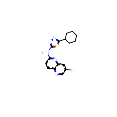 Brc1cnc2ccc(Nc3nnc(C4CCCCC4)s3)nc2c1